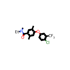 CCN(C)C(=O)c1cc(C)c(Oc2ccc(Cl)c(C(F)(F)F)c2)cc1C